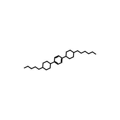 CCCCCCC1CCC(c2ccc(C3CCC(CCCCC)CC3)cc2)CC1